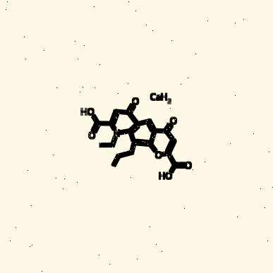 CCCc1c2oc(C(=O)O)cc(=O)c2cc2c(=O)cc(C(=O)O)n(CC)c12.[CaH2]